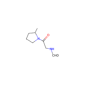 CC1CCCN1C(=O)CNC=O